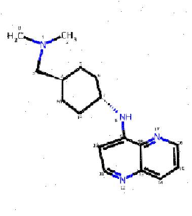 CN(C)C[C@H]1CC[C@H](Nc2ccnc3cccnc23)CC1